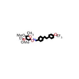 CCO[C@@H]1[C@@H](OC)[C@H](C)O[C@@H](O/N=C/c2ccc(/C=C/c3ccc(OC(F)(F)F)cc3)cc2)[C@@H]1OC